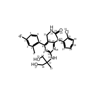 Cc1cc(F)ccc1-c1nc(NC(C)(CO)CO)nc2c1CNC(=O)N2c1ccccc1Cl